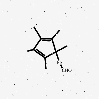 CC1=C(C)[C](C)([Fe][CH]=O)C(C)=C1C